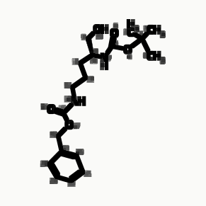 CC(C)(C)OC(=O)N[C@H](CO)CCCNC(=O)OCc1ccccc1